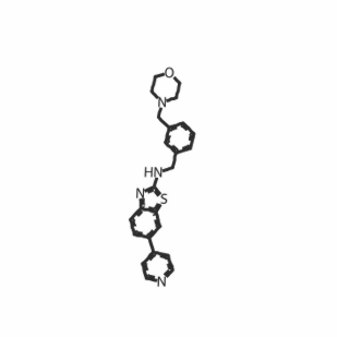 c1cc(CNc2nc3ccc(-c4ccncc4)cc3s2)cc(CN2CCOCC2)c1